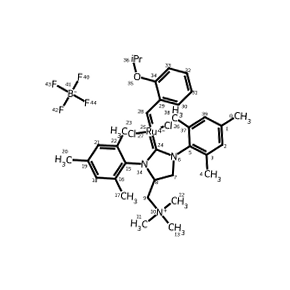 Cc1cc(C)c(N2CC(C[N+](C)(C)C)N(c3c(C)cc(C)cc3C)[C]2=[Ru-4]([Cl])([Cl])=[CH]c2ccccc2OC(C)C)c(C)c1.F[B-](F)(F)F